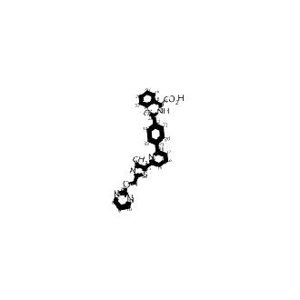 Cc1nc(COc2ncccn2)sc1-c1cccc(-c2ccc(C(=O)N[C@@H](C(=O)O)c3ccccc3)cc2)n1